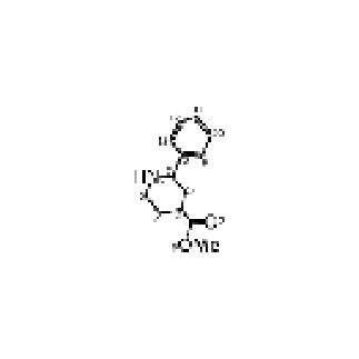 COC(=O)C1CCNC(c2ccccc2)C1